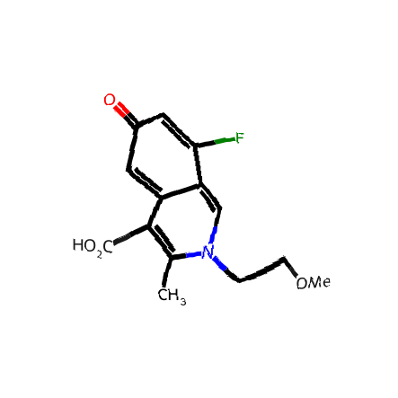 COCCn1cc2c(F)cc(=O)cc-2c(C(=O)O)c1C